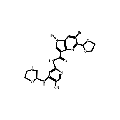 CC(C)n1cc(C(=O)Nc2cc(NC3CNCCO3)c(C#N)cn2)c2nc(C3OCCO3)c(Br)cc21